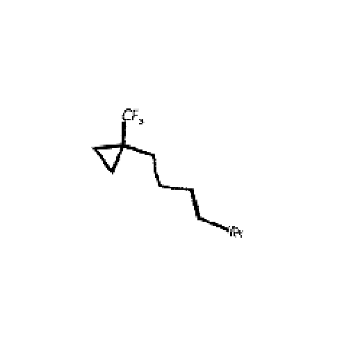 CC(C)CCCCC1(C(F)(F)F)CC1